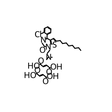 CCCCCCCCc1cc2c(s1)N(CCN(C)C)C(=O)CN=C2c1ccccc1Cl.O=C(O)C=CC(=O)O.O=C(O)C=CC(=O)O